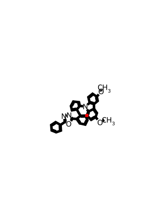 COc1ccc2c(c1)c1cc(OC)ccc1n2-c1ccccc1-c1ccccc1-c1nnc(-c2ccccc2)o1